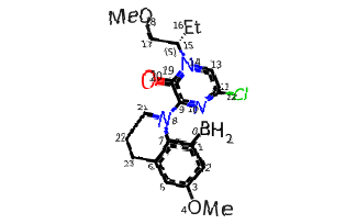 Bc1cc(OC)cc2c1N(c1nc(Cl)cn([C@@H](CC)COC)c1=O)CCC2